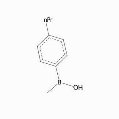 CCCc1ccc(B(C)O)cc1